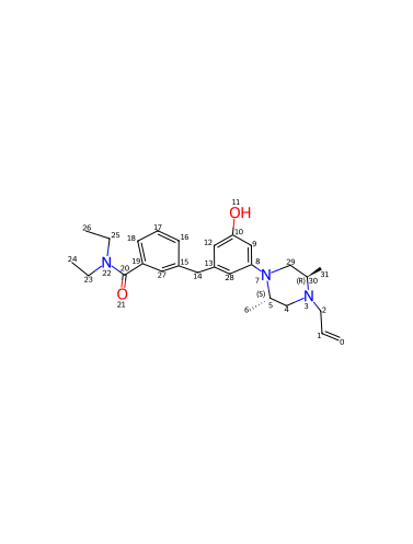 C=CCN1C[C@H](C)N(c2cc(O)cc(Cc3cccc(C(=O)N(CC)CC)c3)c2)C[C@H]1C